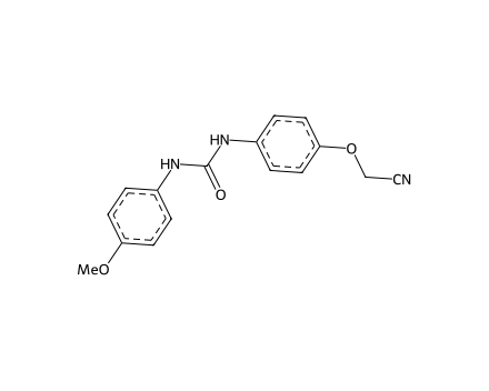 COc1ccc(NC(=O)Nc2ccc(OCC#N)cc2)cc1